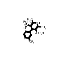 CC1=C(C(=O)O)C(c2cccc(C(F)(F)F)c2)C([S+]([O-])C(C)C)=C(C)N1